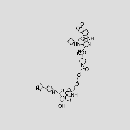 Cc1ncsc1-c1ccc(CNC(=O)[C@@H]2C[C@@H](O)CN2C(=O)[C@@H](NC(=O)CCOCCOCCC(=O)N2CCC(c3nnc(-c4cnc(Nc5ccc6c(c5)C(C)(C)OC6=O)nc4N[C@H](CO)c4ccccc4)o3)CC2)C(C)(C)C)cc1